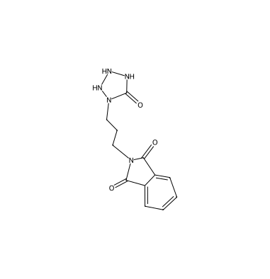 O=C1NNNN1CCCN1C(=O)c2ccccc2C1=O